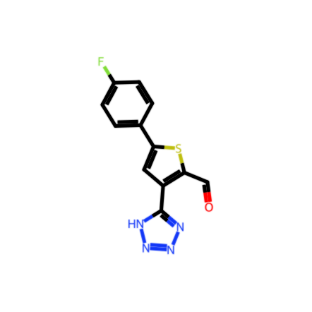 O=Cc1sc(-c2ccc(F)cc2)cc1-c1nnn[nH]1